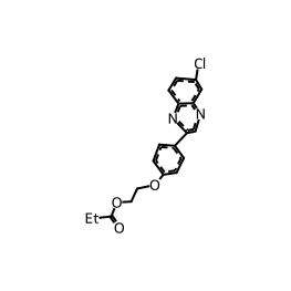 CCC(=O)OCCOc1ccc(-c2cnc3cc(Cl)ccc3n2)cc1